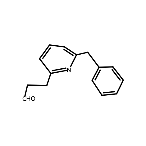 O=CCCc1cccc(Cc2ccccc2)n1